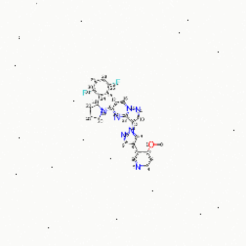 COc1ccncc1-c1cnn(-c2cnn3ccc(N4CCCC4c4cc(F)ccc4F)nc23)c1